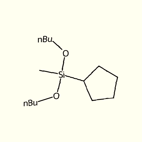 CCCCO[Si](C)(OCCCC)C1CCCC1